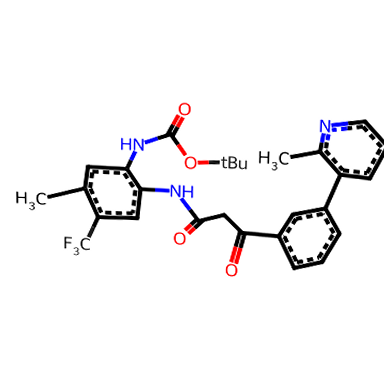 Cc1cc(NC(=O)OC(C)(C)C)c(NC(=O)CC(=O)c2cccc(-c3cccnc3C)c2)cc1C(F)(F)F